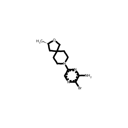 C[C@H]1CC2(CCN(c3cnc(Br)c(N)n3)CC2)CO1